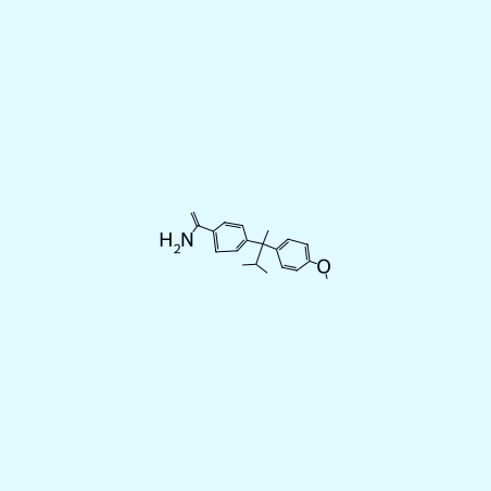 C=C(N)c1ccc(C(C)(c2ccc(OC)cc2)C(C)C)cc1